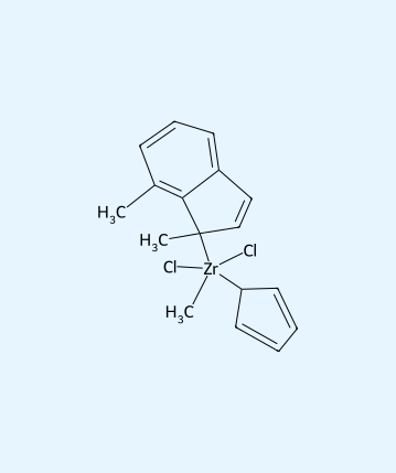 Cc1cccc2c1[C](C)([Zr]([CH3])([Cl])([Cl])[CH]1C=CC=C1)C=C2